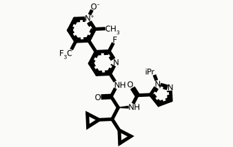 Cc1c(-c2ccc(NC(=O)[C@@H](NC(=O)c3ccnn3C(C)C)C(C3CC3)C3CC3)nc2F)c(C(F)(F)F)cc[n+]1[O-]